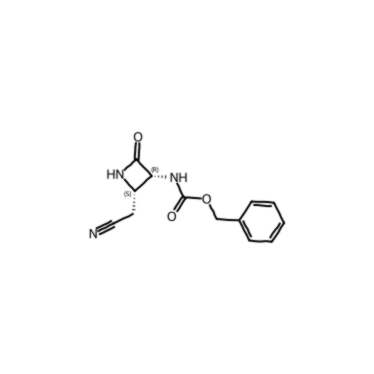 N#CC[C@@H]1NC(=O)[C@@H]1NC(=O)OCc1ccccc1